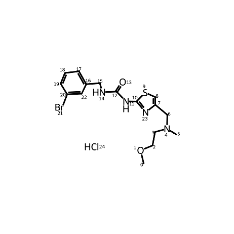 COCCN(C)Cc1csc(NC(=O)NCc2cccc(Br)c2)n1.Cl